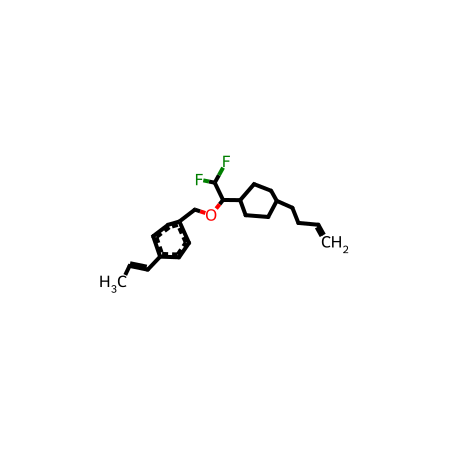 C=CCCC1CCC(C(OCc2ccc(C=CC)cc2)C(F)F)CC1